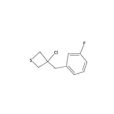 Fc1cccc([CH]C2(Cl)CSC2)c1